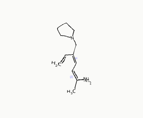 C=C/C(=C\C=C(\C)N)CN1CCCC1